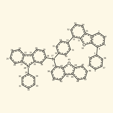 c1ccc(-c2cccc3c2oc2c(-c4ccc(N(c5ccc6c7ccccc7n(-c7ccccc7)c6c5)c5cccc6c5oc5ccccc56)cc4)cccc23)cc1